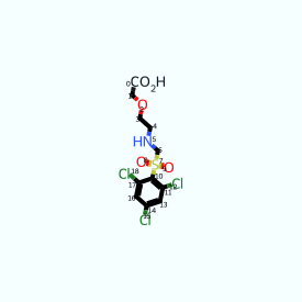 O=C(O)COCCNCS(=O)(=O)c1c(Cl)cc(Cl)cc1Cl